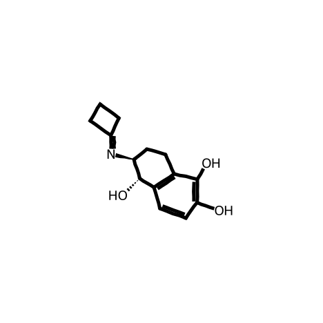 Oc1ccc2c(c1O)CC[C@H](N=C1CCC1)[C@H]2O